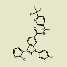 C[C@@H](NC(=O)c1ccc2c(-c3ccccc3Cl)nn(-c3ccc(F)cc3)c2c1)c1ccc(C(F)(F)F)nc1